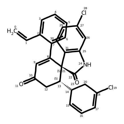 C=Cc1ccccc1C1=CC(=O)C[C@@H](C2C=CC=C(Cl)C2)[C@]12C(=O)Nc1cc(Cl)ccc12